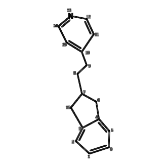 c1ccc2c(c1)CC(CCc1ccncc1)C2